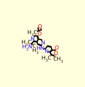 C[C@@H]1OC(=O)c2ccc(Nc3cc4c(C(C)(C)N)ncc(OC5(C)COC5)c4cn3)nc2[C@H]1C